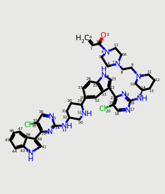 C=CC(=O)N1CCN(CCN2CCC[C@@H](Nc3ncc(Cl)c(-c4c[nH]c5ccc(C6CCC(Nc7ncc(Cl)c(-c8c[nH]c9ccccc89)n7)CN6)cc45)n3)C2)CC1